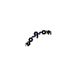 CC[n+]1c(/C=C/c2ccc(-n3ccnc3)cc2)cccc1/C=C/c1ccc(-n2ccnc2)cc1